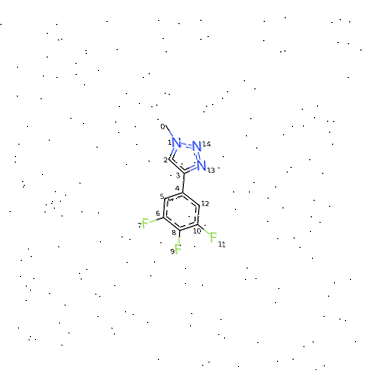 Cn1cc(-c2cc(F)c(F)c(F)c2)nn1